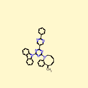 C=C1/C=C\C=C/CN(c2nc(-c3cnc(-c4ccccc4)nc3)nc(-n3c4ccccc4c4ccccc43)n2)c2ccccc21